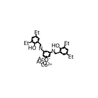 CC(=O)[O-].CC(=O)[O-].CCc1cc(C=Nc2cccc(N=Cc3cc(CC)cc(CC)c3O)c2)c(O)c(CC)c1.[Co+2]